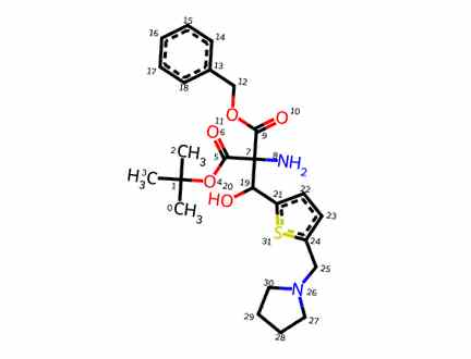 CC(C)(C)OC(=O)C(N)(C(=O)OCc1ccccc1)C(O)c1ccc(CN2CCCC2)s1